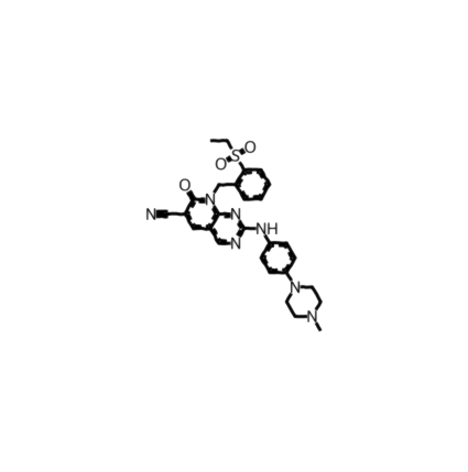 CCS(=O)(=O)c1ccccc1Cn1c(=O)c(C#N)cc2cnc(Nc3ccc(N4CCN(C)CC4)cc3)nc21